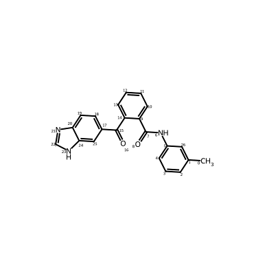 Cc1cccc(NC(=O)c2ccccc2C(=O)c2ccc3n[c][nH]c3c2)c1